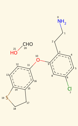 NCCc1ccc(Cl)cc1Oc1ccc2c(c1)CCS2.O=CO